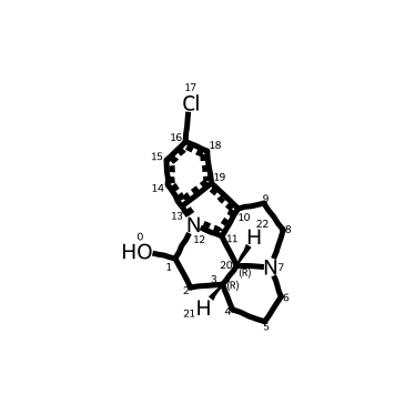 OC1C[C@H]2CCCN3CCc4c(n1c1ccc(Cl)cc41)[C@@H]23